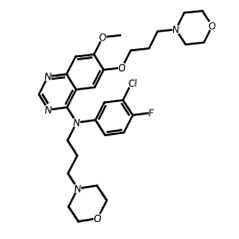 COc1cc2ncnc(N(CCCN3CCOCC3)c3ccc(F)c(Cl)c3)c2cc1OCCCN1CCOCC1